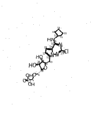 O=P(O)(O)COC[C@H]1O[C@H](Cc2ccc3c(NC4CCCC4)nc(Cl)nn23)[C@H](O)[C@@H]1O